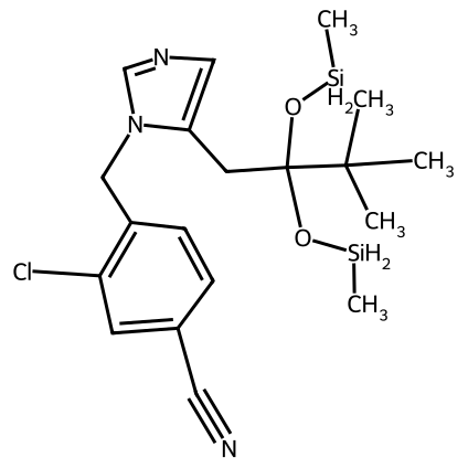 C[SiH2]OC(Cc1cncn1Cc1ccc(C#N)cc1Cl)(O[SiH2]C)C(C)(C)C